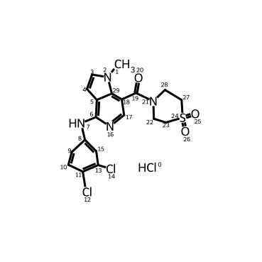 Cl.Cn1ccc2c(Nc3ccc(Cl)c(Cl)c3)ncc(C(=O)N3CCS(=O)(=O)CC3)c21